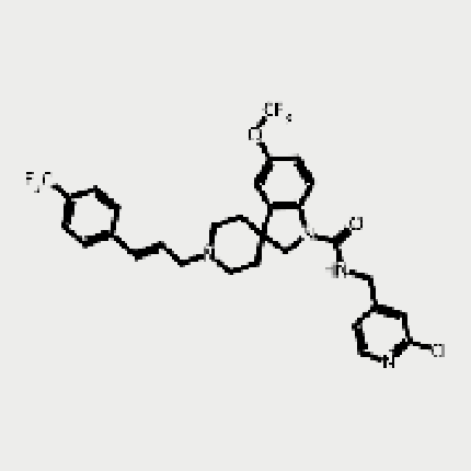 O=C(NCc1ccnc(Cl)c1)N1CC2(CCN(CC=Cc3ccc(C(F)(F)F)cc3)CC2)c2cc(OC(F)(F)F)ccc21